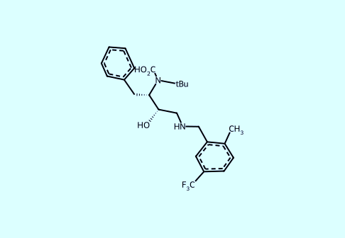 Cc1ccc(C(F)(F)F)cc1CNC[C@H](O)[C@H](Cc1ccccc1)N(C(=O)O)C(C)(C)C